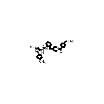 CC(=O)OCc1ccc(C(=O)N2CCC(Cc3ccccc3NC(=O)Nc3cc(C(C)(C)C)nn3-c3ccc(C)cc3)CC2)cc1